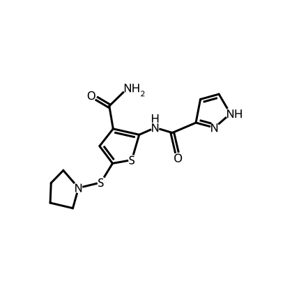 NC(=O)c1cc(SN2CCCC2)sc1NC(=O)c1cc[nH]n1